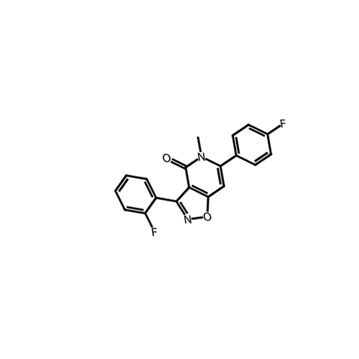 Cn1c(-c2ccc(F)cc2)cc2onc(-c3ccccc3F)c2c1=O